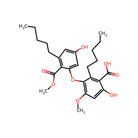 CCCCCc1cc(O)cc(Oc2c(OC)cc(O)c(C(=O)O)c2CCCCC)c1C(=O)OC